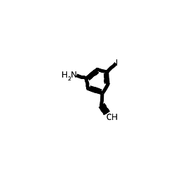 C#Cc1cc(N)cc(I)c1